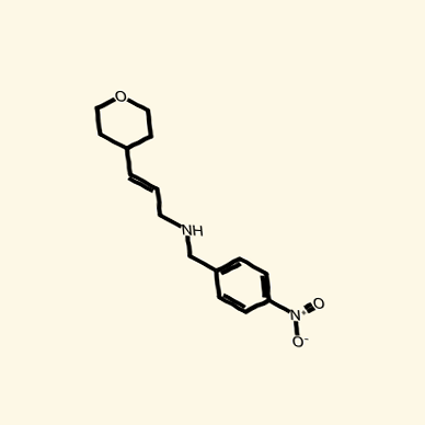 O=[N+]([O-])c1ccc(CNCC=CC2CCOCC2)cc1